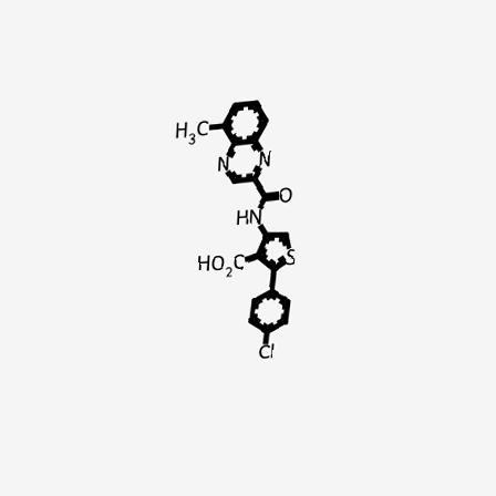 Cc1cccc2nc(C(=O)Nc3csc(-c4ccc(Cl)cc4)c3C(=O)O)cnc12